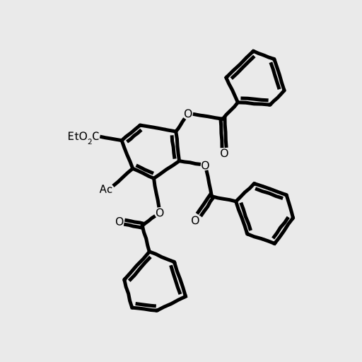 CCOC(=O)c1cc(OC(=O)c2ccccc2)c(OC(=O)c2ccccc2)c(OC(=O)c2ccccc2)c1C(C)=O